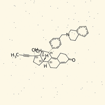 CC#C[C@]1(O)CC[C@H]2[C@@H]3CCC4=CC(=O)CCC4=C3[C@@H](c3ccc(CN4CCc5ccccc5C4)cc3)C[C@@]21C